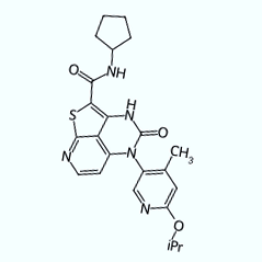 Cc1cc(OC(C)C)ncc1N1C(=O)Nc2c(C(=O)NC3CCCC3)sc3nccc1c23